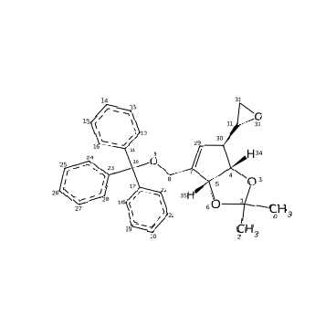 CC1(C)O[C@@H]2[C@H](O1)C(COC(c1ccccc1)(c1ccccc1)c1ccccc1)=C[C@H]2C1CO1